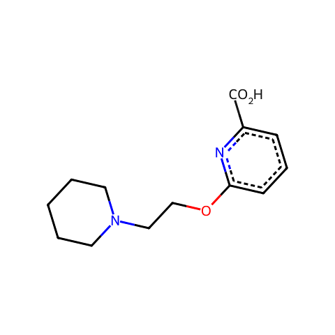 O=C(O)c1cccc(OCCN2CCCCC2)n1